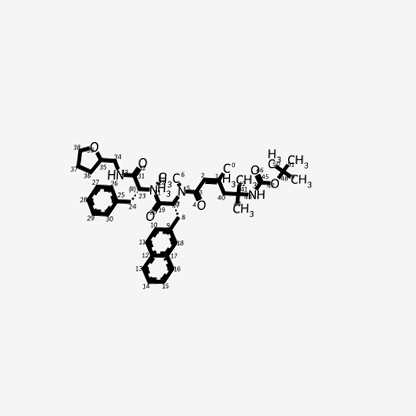 CC(=CC(=O)N(C)[C@H](Cc1ccc2ccccc2c1)C(=O)N(C)[C@H](Cc1ccccc1)C(=O)NCC1CCCO1)CC(C)(C)NC(=O)OC(C)(C)C